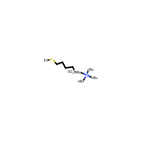 CCCC[N+](CCCC)(CCCC)CCCC.CCSCCCCS(=O)(=O)O